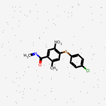 C=NC(=O)c1cc([N+](=O)[O-])c(Sc2ccc(Cl)cc2)cc1C